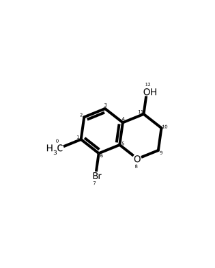 Cc1ccc2c(c1Br)OCCC2O